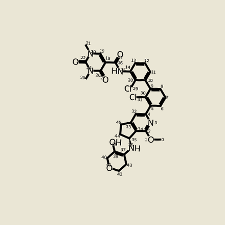 COc1nc(-c2cccc(-c3cccc(NC(=O)c4cn(C)c(=O)n(C)c4=O)c3Cl)c2Cl)cc2c1[C@@H](NC1=C(O)COCC1)CC2